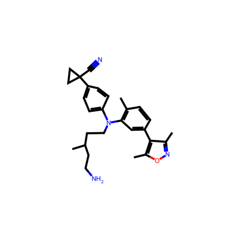 Cc1ccc(-c2c(C)noc2C)cc1N(CCC(C)CCN)c1ccc(C2(C#N)CC2)cc1